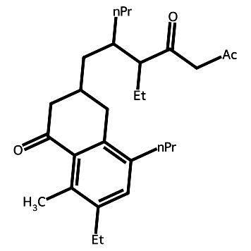 CCCc1cc(CC)c(C)c2c1CC(CC(CCC)C(CC)C(=O)CC(C)=O)CC2=O